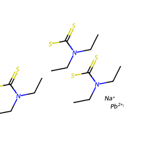 CCN(CC)C(=S)[S-].CCN(CC)C(=S)[S-].CCN(CC)C(=S)[S-].[Na+].[Pb+2]